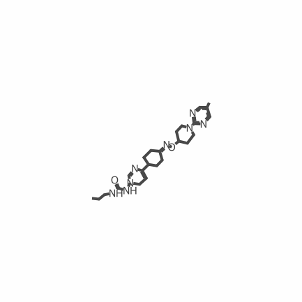 CCCNC(=O)NN1C=NC(C2CCC(=NOC3CCN(c4ncc(C)cn4)CC3)CC2)=CC1